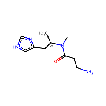 CN(C(=O)CCN)[C@@H](Cc1c[nH]cn1)C(=O)O